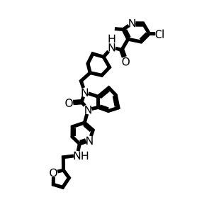 Cc1ncc(Cl)cc1C(=O)NC1CCC(Cn2c(=O)n(-c3ccc(NCC4CCCO4)nc3)c3ccccc32)CC1